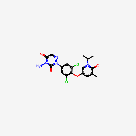 Cc1cc(Oc2c(Cl)cc(-n3ncc(=O)n(N)c3=O)cc2Cl)cn(C(C)C)c1=O